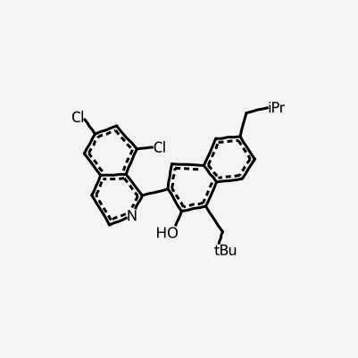 CC(C)Cc1ccc2c(CC(C)(C)C)c(O)c(-c3nccc4cc(Cl)cc(Cl)c34)cc2c1